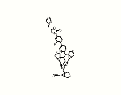 N#CC1C2CSCC12CCCCC(C(c1ccc(-c2ccc(N3C[C@H](Cn4ccnn4)OC3=O)cc2F)cn1)C12CSCC1C2C#N)C12CSCC1C2C#N